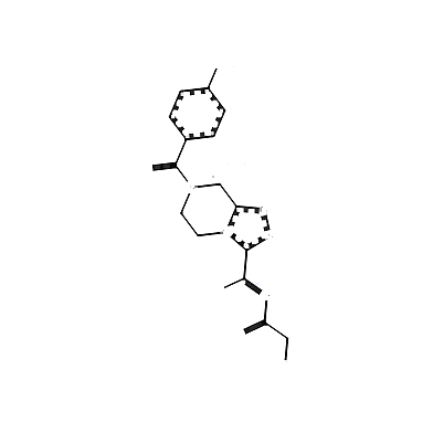 C=C(CC)/N=C(\C)c1nnc2n1CCN(C(=C)c1ccc(C)cc1)[C@@H]2C